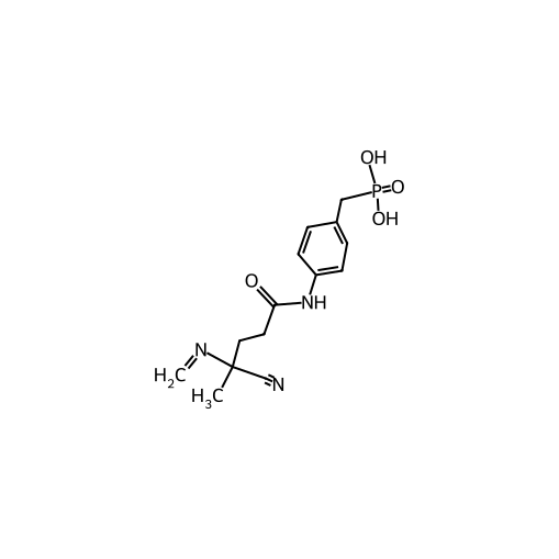 C=NC(C)(C#N)CCC(=O)Nc1ccc(CP(=O)(O)O)cc1